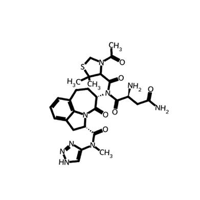 CC(=O)N1CSC(C)(C)C1C(=O)N(C(=O)[C@@H](N)CC(N)=O)[C@H]1CCc2cccc3c2N(C1=O)[C@H](C(=O)N(C)c1c[nH]nn1)C3